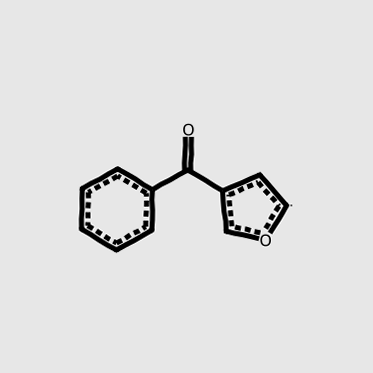 O=C(c1ccccc1)c1c[c]oc1